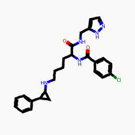 O=C(NC(CCCCNC1CC1c1ccccc1)C(=O)NCc1ccn[nH]1)c1ccc(Cl)cc1